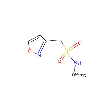 CCCCCNS(=O)(=O)Cc1ccon1